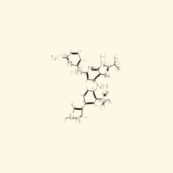 Cc1c(-c2ccc(Nc3cc(Nc4cccc(C#N)n4)nc4[nH]c(C(F)F)nc34)c(S(C)(=O)=O)c2)cnn1C